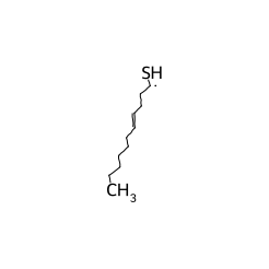 CCCCCCC=CCC[CH]S